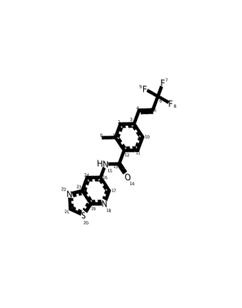 Cc1cc(/C=C/C(F)(F)F)ccc1C(=O)Nc1cnc2scnc2c1